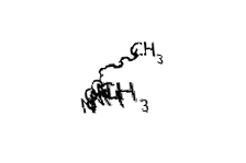 CC/C=C\C/C=C\C/C=C\C/C=C\C/C=C\CCCC(=O)N(C)CCNC(=O)c1cccnc1